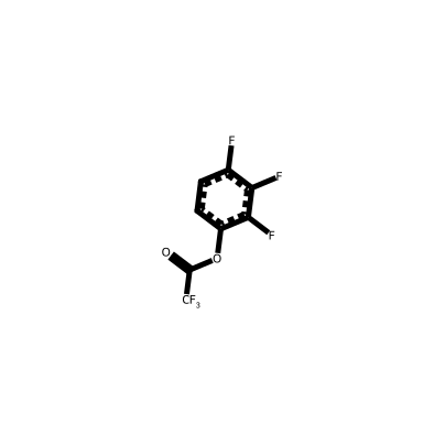 O=C(Oc1ccc(F)c(F)c1F)C(F)(F)F